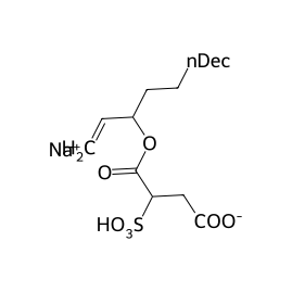 C=CC(CCCCCCCCCCCC)OC(=O)C(CC(=O)[O-])S(=O)(=O)O.[Na+]